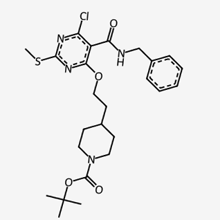 CSc1nc(Cl)c(C(=O)NCc2ccccc2)c(OCCC2CCN(C(=O)OC(C)(C)C)CC2)n1